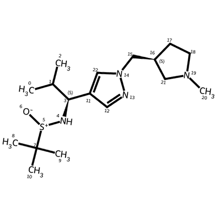 CC(C)[C@H](N[S+]([O-])C(C)(C)C)c1cnn(C[C@H]2CCN(C)C2)c1